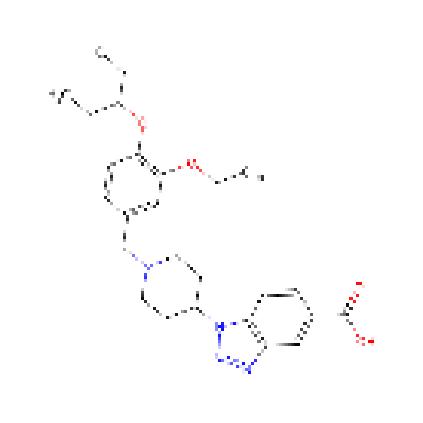 CCOc1cc(CN2CCC(n3nnc4cc(C(=O)O)ccc43)CC2)ccc1OC(CC)CC